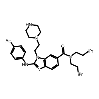 CC(=O)c1ccc(Nc2nc3ccc(C(=O)N(CCC(C)C)CCC(C)C)cc3n2CCN2CCNCC2)cc1